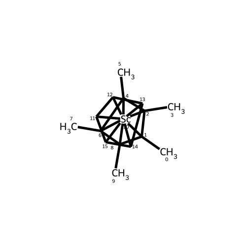 C[C]12[C]3(C)[C]4(C)[C]5(C)[C]1(C)[Sc]23451678[CH]2[CH]1[CH]6[CH]7[CH]28